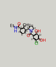 CCNC(=O)c1cccc(C2CCCN2C(=O)c2cc(Cl)c(O)cc2O)c1C